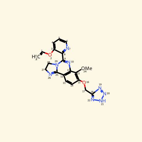 C=COc1cccnc1C1=Nc2c(ccc(OCc3nn[nH]n3)c2OC)C2=NCCN21